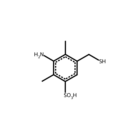 Cc1c(CS)cc(S(=O)(=O)O)c(C)c1N